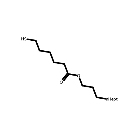 CCCCCCCCCCOC(=O)CCCCCS